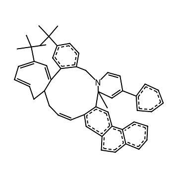 CC(C)(C)C1=C/C=C/CC2C/C=C\c3cc4ccc5ccccc5c4cc3C3(C)C=C(c4ccccc4)C=CN3Cc3ccc(C(C)(C)C)cc3\C2=C\1